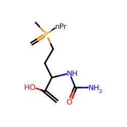 C=C(O)C(CCP(=C)(C)CCC)NC(N)=O